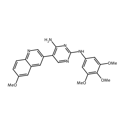 COc1ccc2ncc(-c3cnc(Nc4cc(OC)c(OC)c(OC)c4)nc3N)cc2c1